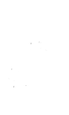 N=C(CCCCC(=N)SC(=N)NC(O)Cc1cccc(CC(=O)O)c1)SC(=N)NC(=O)Cc1cccc(CC(=O)O)c1